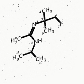 C/C(=N/C(C)(C)CF)NC(C)C